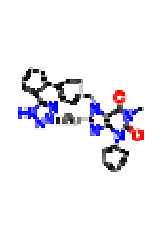 CCCCc1nc2c(c(=O)n(C)c(=O)n2-c2ccccc2)n1Cc1ccc(-c2ccccc2-c2nnn[nH]2)cc1